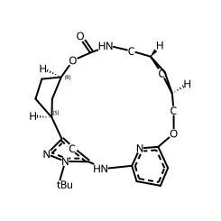 CC(C)(C)n1nc2cc1Nc1cccc(n1)OC[C@H]1C[C@H](CNC(=O)O[C@@H]3CC[C@H]2C3)C1